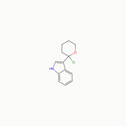 ClC1(c2c[nH]c3ccccc23)CCCCO1